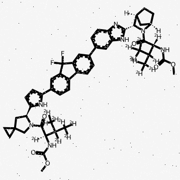 [2H]C([2H])([2H])C([2H])(C([2H])([2H])[2H])[C@@]([2H])(NC(=O)OC)C(=O)N1CC2(CC2)C[C@H]1c1ccc(-c2ccc3c(c2)C(F)(F)c2cc(-c4ccc5nc([C@@H]6[C@H]7CC[C@H](C7)N6C(=O)[C@]([2H])(NC(=O)OC)C([2H])(C([2H])([2H])[2H])C([2H])([2H])[2H])[nH]c5c4)ccc2-3)[nH]1